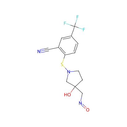 N#Cc1cc(C(F)(F)F)ccc1SN1CCC(O)(CN=O)C1